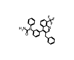 NC(=O)N(c1ccccc1)c1cccc(-c2c(Cc3ccccc3)cnc3c(C(F)(F)F)cccc23)c1